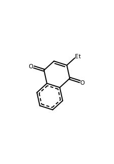 CCC1=CC(=O)c2ccccc2C1=O